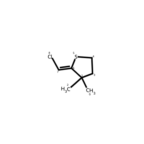 CC1(C)CCSC1=CCl